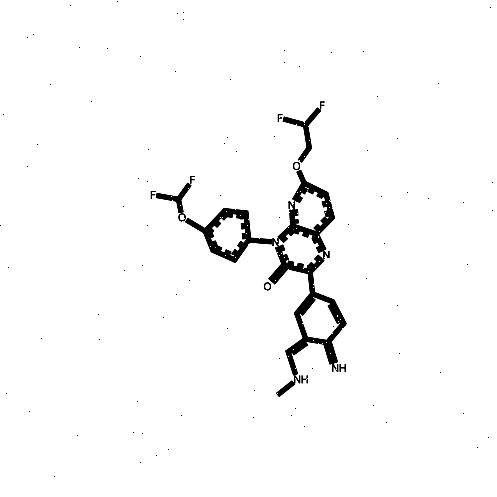 CN/C=C1/C=C(c2nc3ccc(OCC(F)F)nc3n(-c3ccc(OC(F)F)cc3)c2=O)C=CC1=N